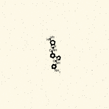 CCCN[C@H]1CCc2nc(NC(=O)c3cccc([C@H]4CCCN4C(=O)Nc4cccc(N)c4)c3)sc2C1